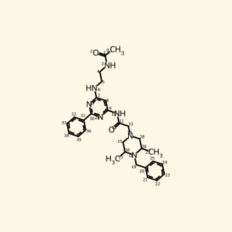 CC(=O)NCCNc1cc(NC(=O)CN2CC(C)N(Cc3ccccc3)C(C)C2)nc(-c2ccccc2)n1